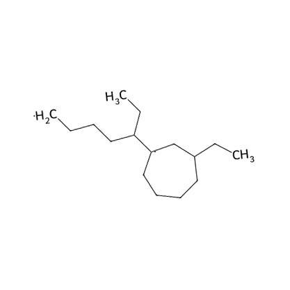 [CH2]CCCC(CC)[C]1CCCCC(CC)C1